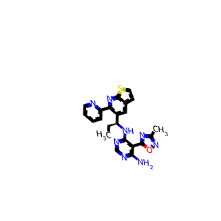 CC[C@H](Nc1ncnc(N)c1-c1nc(C)no1)c1cc2ccsc2nc1-c1ccccn1